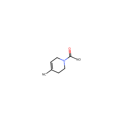 N#CC1=CCN(C(=O)N=O)CC1